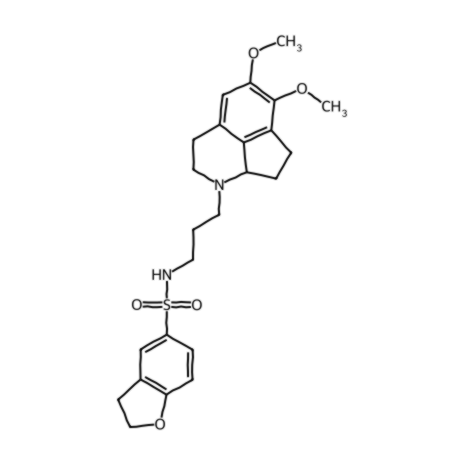 COc1cc2c3c(c1OC)CCC3N(CCCNS(=O)(=O)c1ccc3c(c1)CCO3)CC2